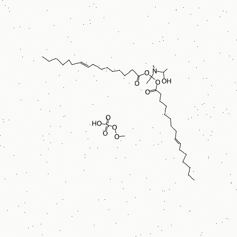 CCCCCCC=CCCCCCCCC(=O)OC(C)(OC(=O)CCCCCCCC=CCCCCCC)N(C)C(C)O.COOS(=O)(=O)O